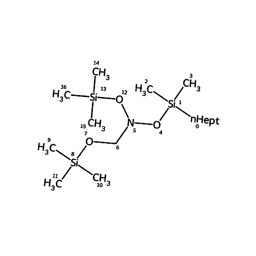 CCCCCCC[Si](C)(C)ON(CO[Si](C)(C)C)O[Si](C)(C)C